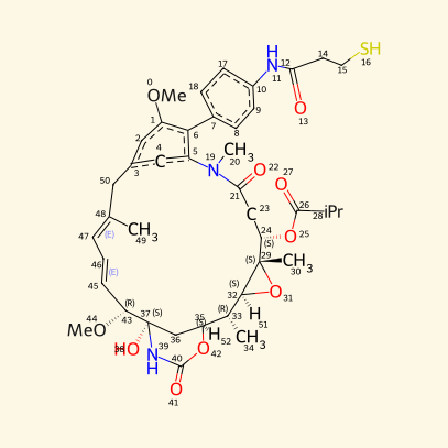 COc1cc2cc(c1-c1ccc(NC(=O)CCS)cc1)N(C)C(=O)C[C@H](OC(=O)C(C)C)[C@]1(C)O[C@H]1[C@H](C)[C@@H]1C[C@@](O)(NC(=O)O1)[C@H](OC)/C=C/C=C(\C)C2